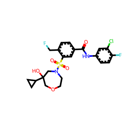 O=C(Nc1ccc(F)c(Cl)c1)c1ccc(CF)c(S(=O)(=O)N2CCOCC(O)(C3CC3)C2)c1